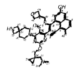 C#Cc1c(F)ccc2cc(O)cc(C3=Cc4nc(OCC5(CN(C)C)CC5)nc(N5CCC6(CC5)CNC6)c4[S+]([O-])N3CC3COC3)c12